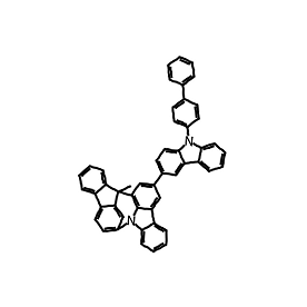 CC12c3ccccc3-c3ccc(cc31)-n1c3ccccc3c3cc(-c4ccc5c(c4)c4ccccc4n5-c4ccc(-c5ccccc5)cc4)cc2c31